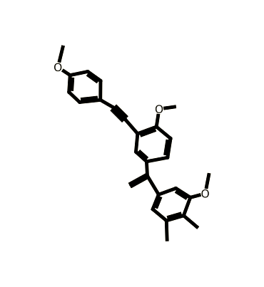 C=C(c1ccc(OC)c(C#Cc2ccc(OC)cc2)c1)c1cc(C)c(C)c(OC)c1